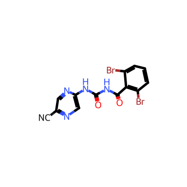 N#Cc1cnc(NC(=O)NC(=O)c2c(Br)cccc2Br)cn1